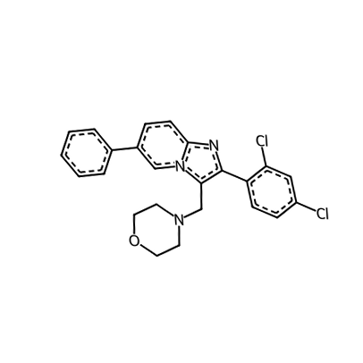 Clc1ccc(-c2nc3ccc(-c4ccccc4)cn3c2CN2CCOCC2)c(Cl)c1